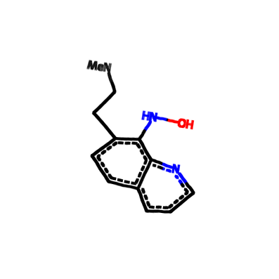 CNCCc1ccc2cccnc2c1NO